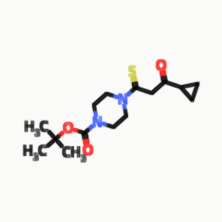 CC(C)(C)OC(=O)N1CCN(C(=S)CC(=O)C2CC2)CC1